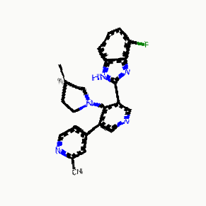 C[C@@H]1CCN(c2c(-c3ccnc(C#N)c3)cncc2-c2nc3c(F)cccc3[nH]2)C1